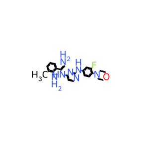 Cc1cccc(/C(=C\N)Nc2ccnc(Nc3ccc(N4CCOCC4)c(F)c3)n2)c1N